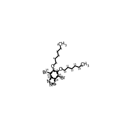 CCCCCCOc1c(OCCCCCC)c(Br)c2snnc2c1Br